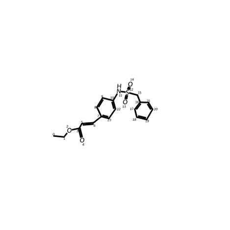 CCOC(=O)C=Cc1ccc(NS(=O)(=O)Cc2ccccc2)cc1